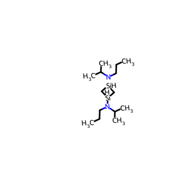 CCCN(C(C)C)[SiH]1C[SiH](N(CCC)C(C)C)C1